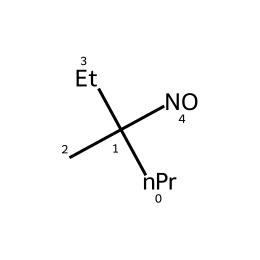 CCCC(C)(CC)N=O